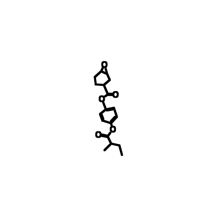 CCC(C)C(=O)Oc1ccc(OC(=O)C2CCC3OC3C2)cc1